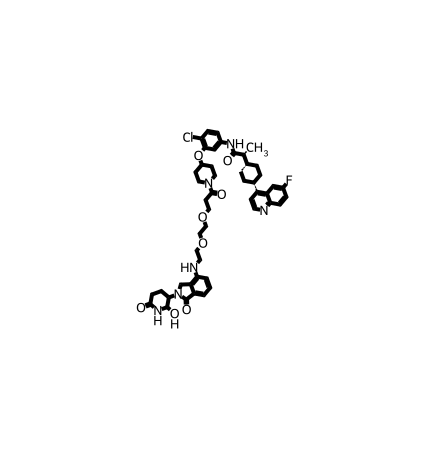 C[C@@H](C(=O)Nc1ccc(Cl)c(OC2CCN(C(=O)CCOCCOCCNc3cccc4c3CN(C3CCC(=O)NC3O)C4=O)CC2)c1)[C@H]1CC[C@@H](c2ccnc3ccc(F)cc32)CC1